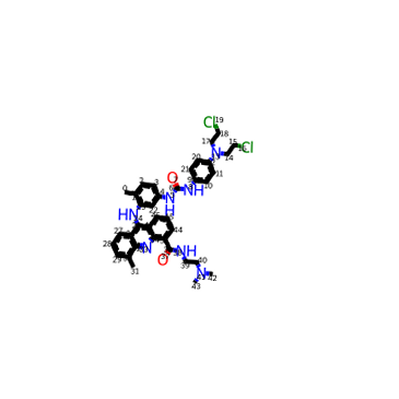 Cc1ccc(NC(=O)Nc2ccc(N(CCCl)CCCl)cc2)cc1Nc1c2cccc(C)c2nc2c(C(=O)NCCN(C)C)cccc12